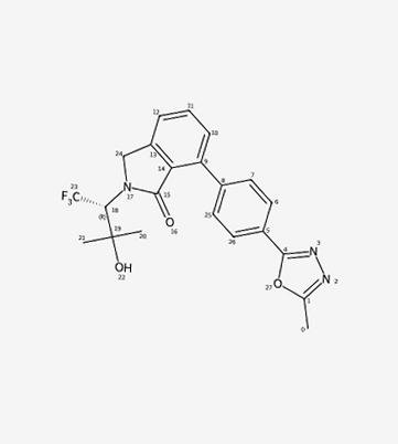 Cc1nnc(-c2ccc(-c3cccc4c3C(=O)N([C@H](C(C)(C)O)C(F)(F)F)C4)cc2)o1